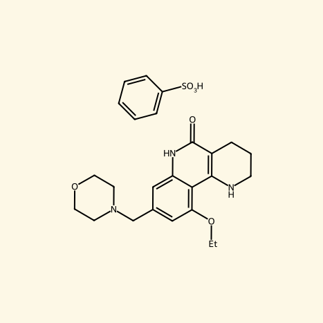 CCOc1cc(CN2CCOCC2)cc2[nH]c(=O)c3c(c12)NCCC3.O=S(=O)(O)c1ccccc1